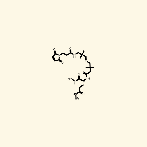 CCCNC(=O)CC[C@H](NC(=O)CC(C)(C)COCC(C)(C)CNC(=O)CCN1C(=O)C=CC1=O)C(=O)NCCC